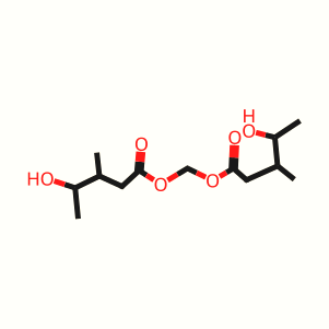 CC(O)C(C)CC(=O)OCOC(=O)CC(C)C(C)O